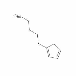 CCCCCCCCCC1=CC=CC1